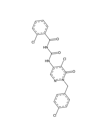 O=C(NC(=O)c1ccccc1Cl)Nc1cnn(Cc2ccc(Cl)cc2)c(=O)c1Cl